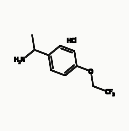 CC(N)c1ccc(OCC(F)(F)F)cc1.Cl